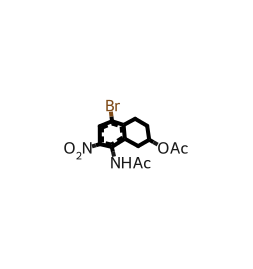 CC(=O)Nc1c([N+](=O)[O-])cc(Br)c2c1CC(OC(C)=O)CC2